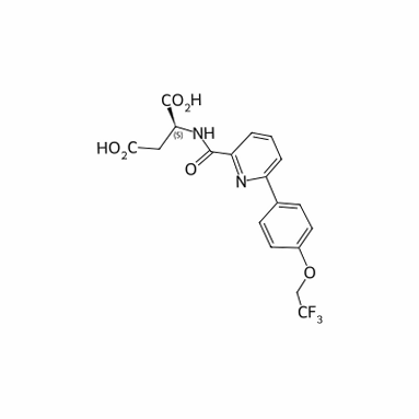 O=C(O)C[C@H](NC(=O)c1cccc(-c2ccc(OCC(F)(F)F)cc2)n1)C(=O)O